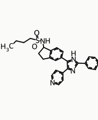 CCCCS(=O)(=O)NC1CCc2cc(-c3[nH]c(-c4ccccc4)nc3-c3ccncc3)ccc21